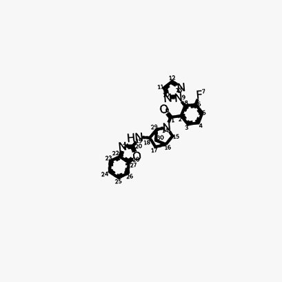 O=C(c1cccc(F)c1-n1nccn1)N1CC2CC(Nc3nc4ccccc4o3)C1C2